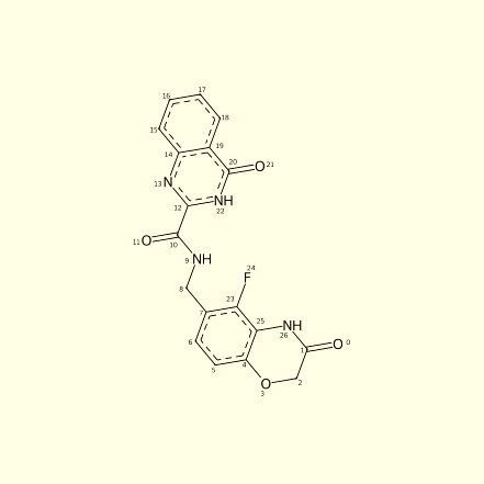 O=C1COc2ccc(CNC(=O)c3nc4ccccc4c(=O)[nH]3)c(F)c2N1